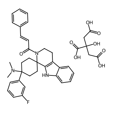 CN(C)C1(c2cccc(F)c2)CCC2(CC1)c1[nH]c3ccccc3c1CCN2C(=O)/C=C/c1ccccc1.O=C(O)CC(O)(CC(=O)O)C(=O)O